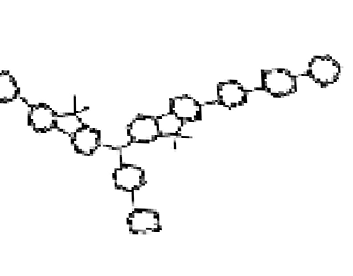 CC1(C)c2cc(-c3ccccc3)ccc2-c2ccc(N(c3ccc(-c4ccccc4)cc3)c3ccc4c(c3)C(C)(C)c3cc(-c5ccc(-c6ccc(-c7ccccc7)cc6)cc5)ccc3-4)cc21